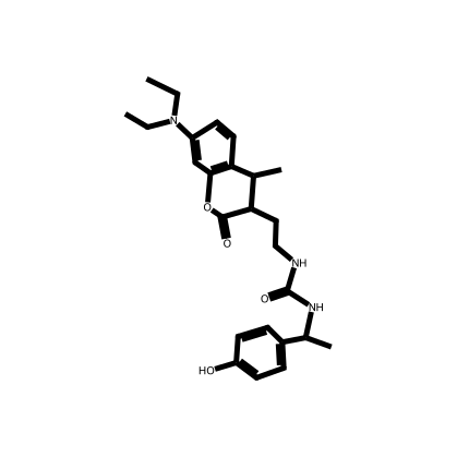 CCN(CC)c1ccc2c(c1)OC(=O)C(CCNC(=O)NC(C)c1ccc(O)cc1)C2C